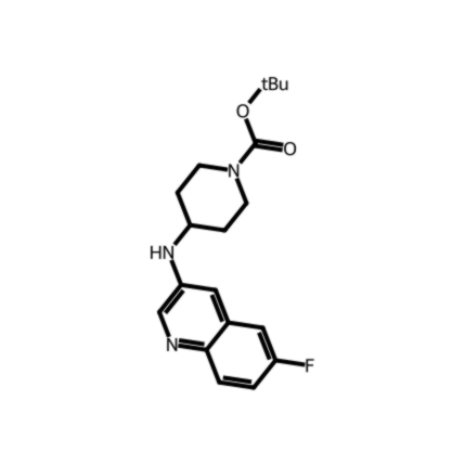 CC(C)(C)OC(=O)N1CCC(Nc2cnc3ccc(F)cc3c2)CC1